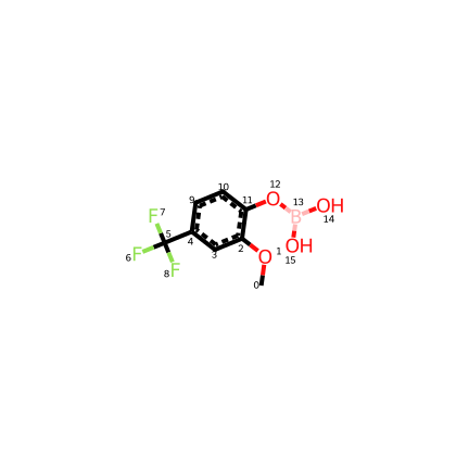 COc1cc(C(F)(F)F)ccc1OB(O)O